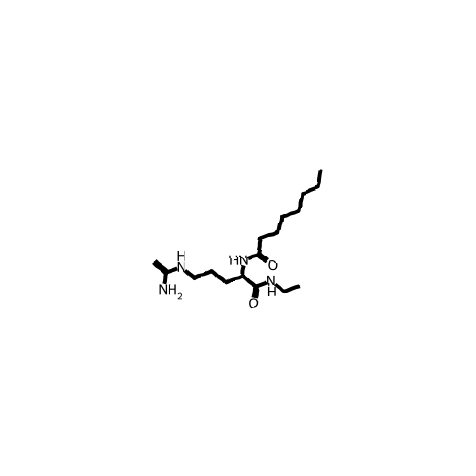 C=C(N)NCCCC(NC(=O)CCCCCCC)C(=O)NCC